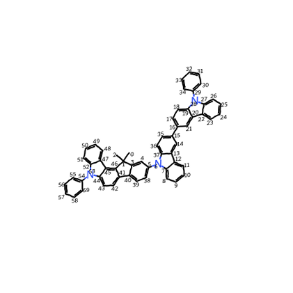 CC1(C)c2cc(-n3c4ccccc4c4cc(-c5ccc6c(c5)c5ccccc5n6-c5ccccc5)ccc43)ccc2-c2ccc3c(c21)c1ccccc1n3-c1ccccc1